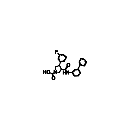 O=C(Nc1cccc(-c2ccccc2)c1)C1CN(C(=O)O)CC1c1cccc(F)c1